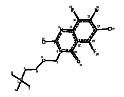 C[Si](C)(C)CCOCn1c(Cl)nc2c(F)c(Br)c(Cl)c(F)c2c1=O